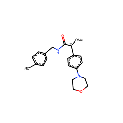 CO[C@H](C(=O)NCc1ccc(C#N)cc1)c1ccc(N2CCOCC2)cc1